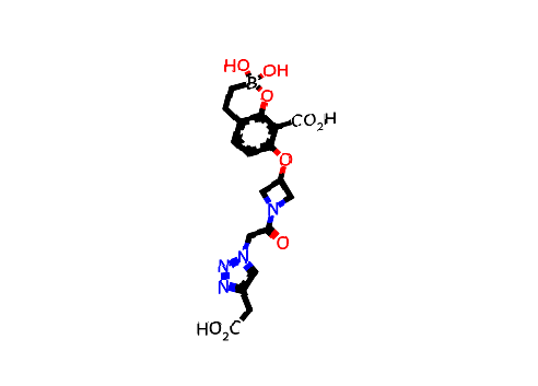 O=C(O)Cc1cn(CC(=O)N2CC(Oc3ccc4c(c3C(=O)O)O[B-](O)(O)CC4)C2)nn1